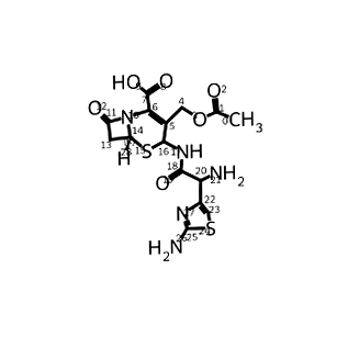 CC(=O)OCC1=C(C(=O)O)N2C(=O)C[C@H]2SC1NC(=O)C(N)c1csc(N)n1